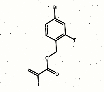 C=C(C)C(=O)OCc1ccc(Br)cc1F